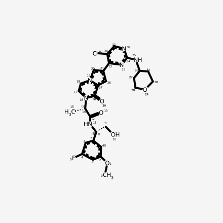 COc1cc(F)cc([C@@H](CO)NC(=O)[C@H](C)n2ccn3cc(-c4nc(NC5CCOCC5)ncc4Cl)cc3c2=O)c1